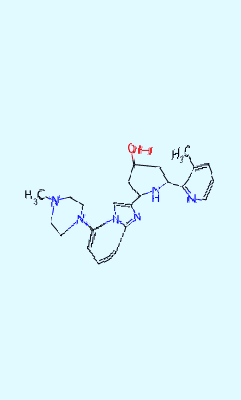 Cc1cccnc1C1CC(O)CC(c2cn3c(N4CCN(C)CC4)cccc3n2)N1